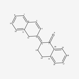 O=C1/C(=C2\C=Cc3ccccc3C2)CCc2ccccc21